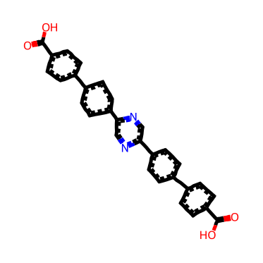 O=C(O)c1ccc(-c2ccc(-c3cnc(-c4ccc(-c5ccc(C(=O)O)cc5)cc4)cn3)cc2)cc1